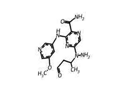 COc1cncc(Nc2nc(N(N)C(C)CC=O)cnc2C(N)=O)c1